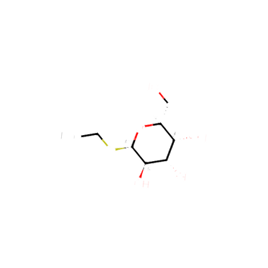 CCS[C@H]1O[C@H](CO)[C@H](O)[C@H](O)[C@H]1O